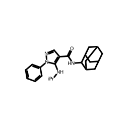 CC(C)Nc1c(C(=O)NC2C3CC4CC(C3)CC2C4)cnn1-c1ccccc1